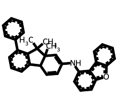 CC1(C)c2c(-c3ccccc3)cccc2C2C=CC(Nc3cccc4oc5ccccc5c34)=CC21C